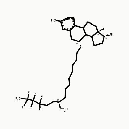 C[C@]12CCC3c4ccc(O)cc4C[C@@H](CCCCCCCCC[C@H](CCC(F)(F)C(F)(F)C(F)(F)C(F)(F)F)C(=O)O)C3C1CC[C@@H]2O